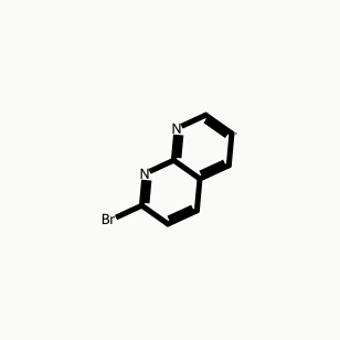 Brc1ccc2c[c]cnc2n1